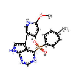 CCOc1ccc(-c2c[nH]c3ncnc(S(=O)(=O)c4ccc([N+](=O)[O-])cc4)c23)cn1